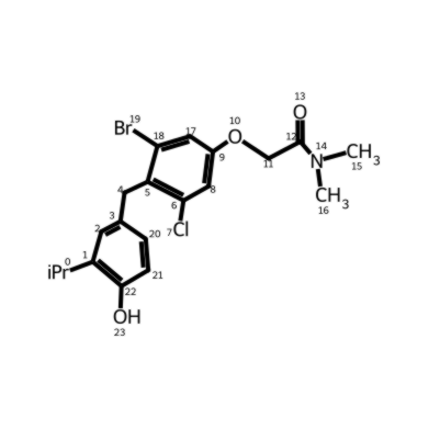 CC(C)c1cc(Cc2c(Cl)cc(OCC(=O)N(C)C)cc2Br)ccc1O